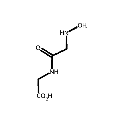 O=C(O)CNC(=O)CNO